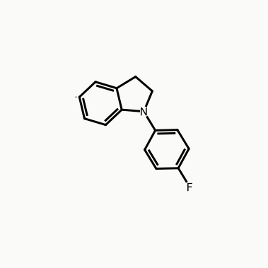 Fc1ccc(N2CCc3c[c]ccc32)cc1